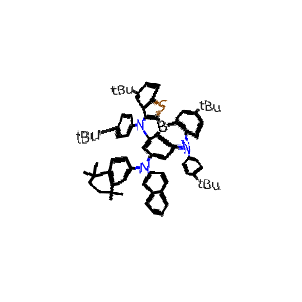 CC(C)(C)c1ccc(N2c3ccc(C(C)(C)C)cc3B3c4sc5ccc(C(C)(C)C)cc5c4N(c4ccc(C(C)(C)C)cc4)c4cc(N(c5ccc6c(c5)C(C)(C)CCC6(C)C)c5ccc6ccccc6c5)cc2c43)cc1